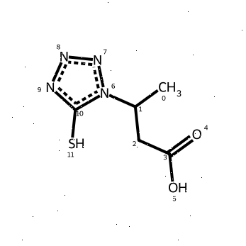 CC(CC(=O)O)n1nnnc1S